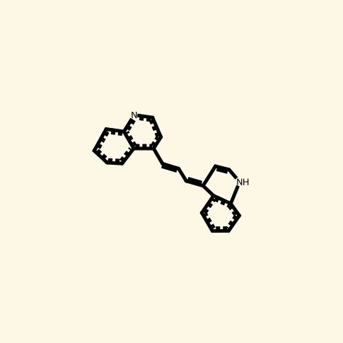 C(=Cc1ccnc2ccccc12)C=C1C=CNc2ccccc21